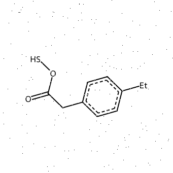 CCc1ccc(CC(=O)OS)cc1